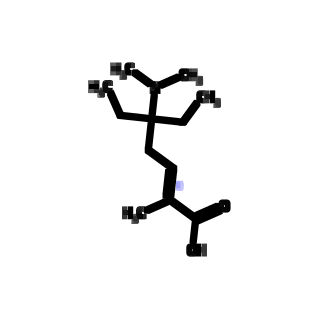 CCC(CC)(C/C=C(\C)C(=O)O)N(C)C